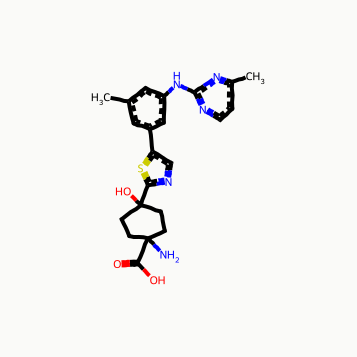 Cc1cc(Nc2nccc(C)n2)cc(-c2cnc(C3(O)CCC(N)(C(=O)O)CC3)s2)c1